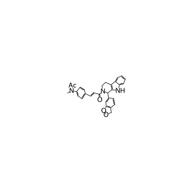 CC(=O)N(C)c1ccc(/C=C/C(=O)N2CCc3c([nH]c4ccccc34)C2c2ccc3c(c2)OOC3)cc1